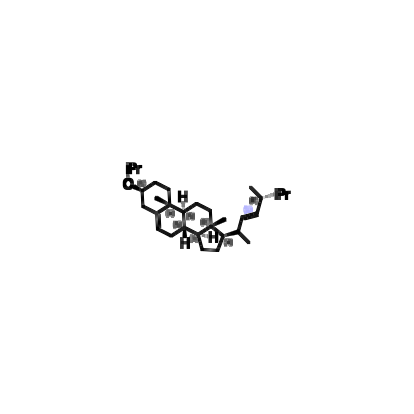 CC(C)O[C@H]1CC[C@@]2(C)C(=CC[C@H]3[C@@H]4CC[C@H](C(C)/C=C/[C@H](C)C(C)C)[C@@]4(C)CC[C@@H]32)C1